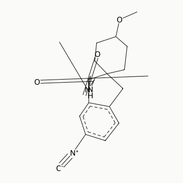 [C-]#[N+]c1ccc2c(c1)C1(NC(=O)N(C)C1=O)C1(CCC(OC)CC1)C2